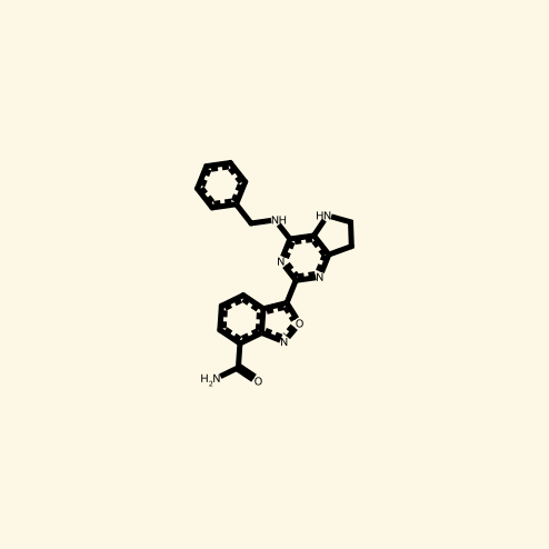 NC(=O)c1cccc2c(-c3nc4c(c(NCc5ccccc5)n3)NCC4)onc12